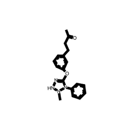 CC(=O)CCc1cccc(OC2=NNN(C)N2c2ccccc2)c1